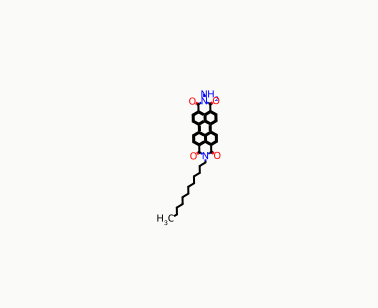 CCCCCCCCCCCCN1C(=O)c2ccc3c4ccc5c6c(ccc(c7ccc(c2c37)C1=O)c64)C(=O)N(N)C5=O